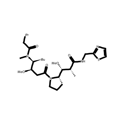 CC[C@H](C)[C@@H]([C@@H](CC(=O)N1CCC[C@H]1[C@H](OC)[C@@H](C)C(=O)NCc1nccs1)OC)N(C)C(=O)CC(C)C